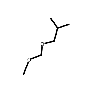 COCOCC(C)C